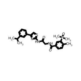 Cc1ccc(C(=O)NCC(=O)Nc2nc(-c3cccc(C(C)C)c3)cs2)cc1P(C)(C)=O